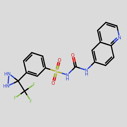 O=C(Nc1ccc2ncccc2c1)NS(=O)(=O)c1cccc(C2(C(F)(F)F)NN2)c1